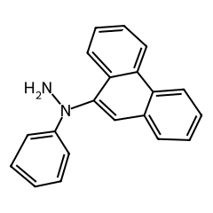 NN(c1ccccc1)c1cc2ccccc2c2ccccc12